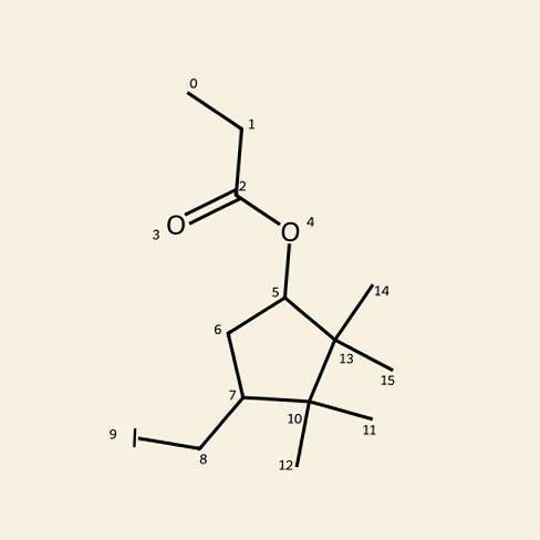 CCC(=O)OC1CC(CI)C(C)(C)C1(C)C